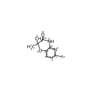 CC1(C)Oc2ccc(I)nc2NC1=O